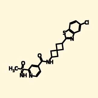 CS(=N)(=O)c1cc(C(=O)NC2CC3(C2)CC(c2nc4cc(Cl)ccc4s2)C3)ccn1